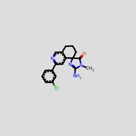 CN1C(=O)C2(CCCc3cnc(-c4cccc(Cl)c4)cc32)N=C1N